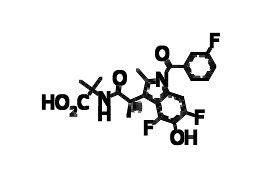 Cc1c([C@@H](C)C(=O)NC(C)(C)C(=O)O)c2c(F)c(O)c(F)cc2n1C(=O)c1cccc(F)c1